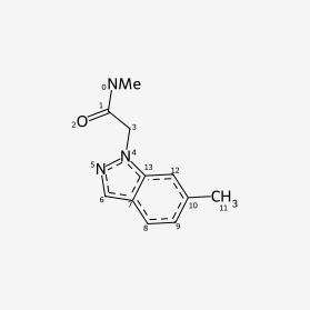 CNC(=O)Cn1ncc2ccc(C)cc21